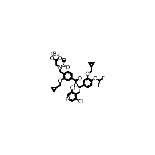 CC(C)(C)OC(=O)CN(Cc1ccc(C(=O)O[C@@H](Cc2c(Cl)cncc2Cl)c2ccc(OC(F)F)c(OCC3CC3)c2)cc1OCC1CC1)[SH](=O)=O